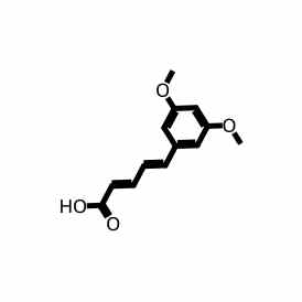 COc1cc(C=CC=CC(=O)O)cc(OC)c1